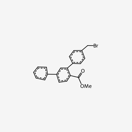 COC(=O)c1ccc(-c2ccccc2)cc1-c1ccc(CBr)cc1